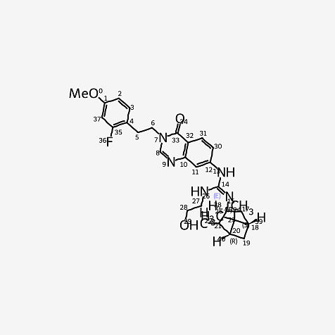 COc1ccc(CCn2cnc3cc(N/C(=N/[C@H]4C[C@@H]5C[C@H](C4C)C5(C)C)NCCO)ccc3c2=O)c(F)c1